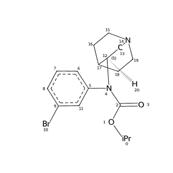 CC(C)OC(=O)N(c1cccc(Br)c1)[C@@H]1CN2CCC1CC2